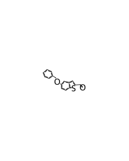 O=Cc1cc2cc(OCc3ccccc3)ccc2s1